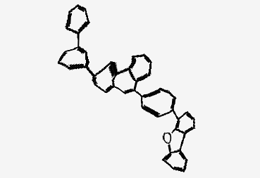 c1ccc(-c2cccc(-c3ccc4cc(-c5ccc(-c6cccc7c6oc6ccccc67)cc5)c5ccccc5c4c3)c2)cc1